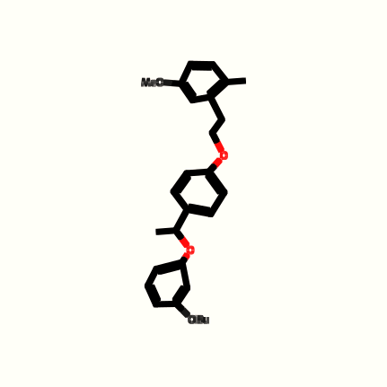 COc1ccc(C)c(CCOc2ccc(C(C)Oc3cccc(OCC(C)C)c3)cc2)c1